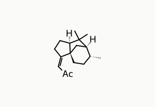 CC(=O)/C=C1/CC[C@H]2C(C)(C)[C@@H]3C[C@]12CC[C@H]3C